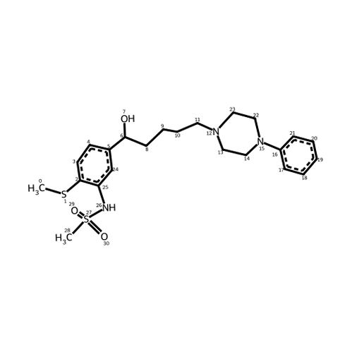 CSc1ccc(C(O)CCCCN2CCN(c3ccccc3)CC2)cc1NS(C)(=O)=O